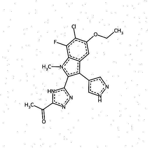 CCOc1cc2c(-c3cn[nH]c3)c(-c3nnc(C(C)=O)[nH]3)n(C)c2c(F)c1Cl